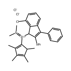 CCCC1=C(c2ccccc2)c2cccc(Cl)c2[CH]1[Zr+2]([C]1=C(C)C(C)=C(C)C1C)=[Si](C)C.[Cl-].[Cl-]